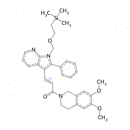 COc1cc2c(cc1OC)CN(C(=O)/C=C/c1c(-c3ccccc3)n(COCC[Si](C)(C)C)c3ncccc13)CC2